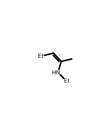 CC/C=C(/C)NCC